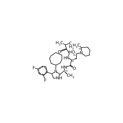 CC(C)C(=O)CN[C@@H](C[C@H](O)N1CCCC[C@@H]1C)C(=O)N[C@@H](C)C1NCC(c2ccc(F)cc2F)N1C1CCCCCCC1